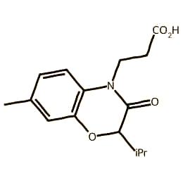 Cc1ccc2c(c1)OC(C(C)C)C(=O)N2CCC(=O)O